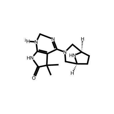 [2H]N1CN=C(N2C[C@H]3CC[C@@H](C2)N3)C2=C1NC(=O)C2(C)C